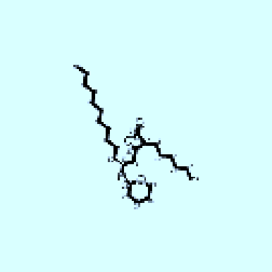 CCCCCCCCCCC[C@@H](CC1OC(=O)C1CCCCCC)OC1CCCCO1